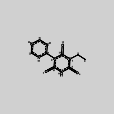 CCn1c(=O)[nH]c(=O)n(-c2ncncn2)c1=O